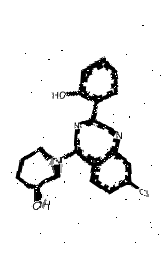 Oc1ccccc1-c1nc(N2CCCC(O)C2)c2ccc(Cl)cc2n1